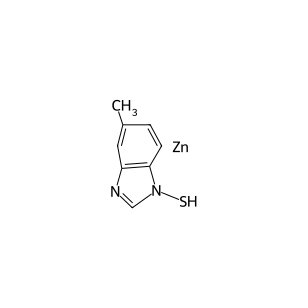 Cc1ccc2c(c1)ncn2S.[Zn]